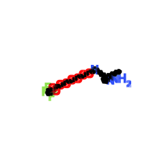 CCCCCc1cc2c(CCCCCN(C)CCOCCOCCOCCOCCOCCOCCC(=O)Oc3c(F)c(F)cc(F)c3F)cccc2nc1N